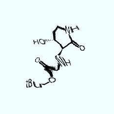 CC(C)(C)OC(=O)N[C@@H]1C(=O)NC[C@H]1O